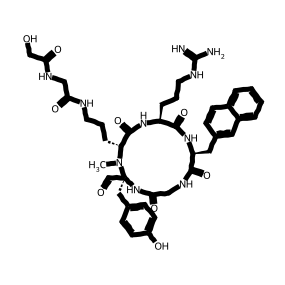 CN1[C@H](CCCNC(=O)CNC(=O)CO)C(=O)N[C@@H](CCCNC(=N)N)C(=O)N[C@@H](Cc2ccc3ccccc3c2)C(=O)NCC(=O)N[C@]1(C=O)Cc1ccc(O)cc1